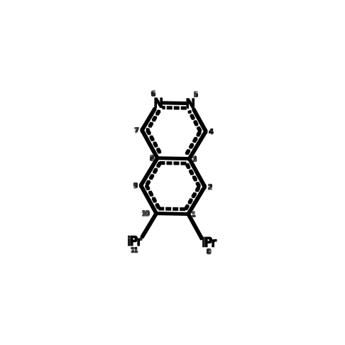 CC(C)c1cc2cnncc2cc1C(C)C